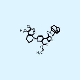 CCOC(=O)c1nc(N2CCCCc3c2nnc(Cl)c3C)ccc1-c1cnn(CC23CC4CC(CC(C4)C2)C3)c1C